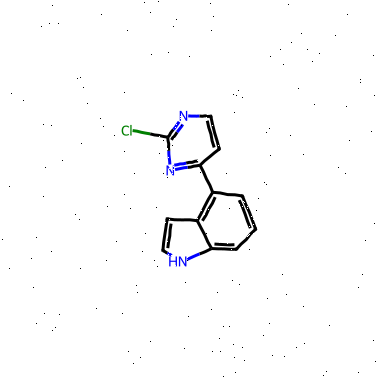 Clc1nccc(-c2cccc3[nH]ccc23)n1